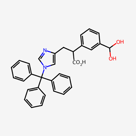 O=C(O)C(Cc1cn(C(c2ccccc2)(c2ccccc2)c2ccccc2)cn1)c1cccc(C(O)O)c1